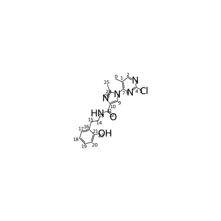 Cc1cnc(Cl)nc1-n1cc(C(=O)NCCc2ccccc2O)nc1C